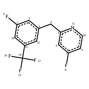 Fc1cc(Cc2cc(F)ccn2)cc(C(F)(F)F)c1